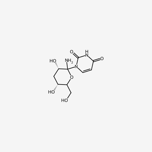 NC1(n2ccc(=O)[nH]c2=O)OC(CO)[C@H](O)C[C@@H]1O